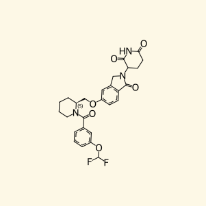 O=C1CCC(N2Cc3cc(OC[C@@H]4CCCCN4C(=O)c4cccc(OC(F)F)c4)ccc3C2=O)C(=O)N1